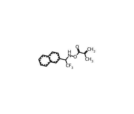 C=C(C)C(=O)ONC(c1ccc2ccccc2c1)C(F)(F)F